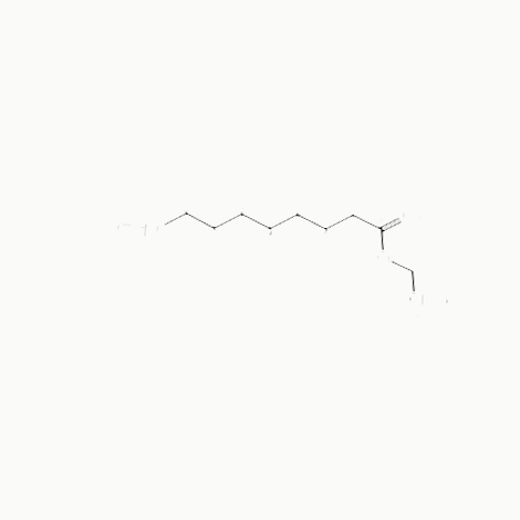 CCCCCCCCCCCCCCC(=O)OCC=O